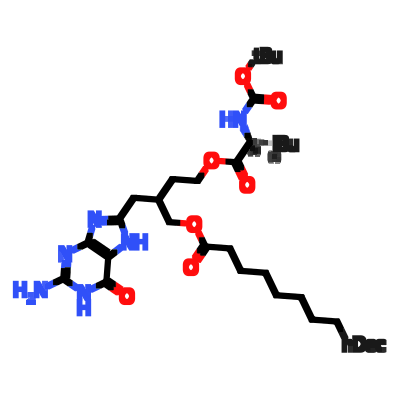 CCCCCCCCCCCCCCCCCC(=O)OCC(CCOC(=O)[C@@H](NC(=O)OC(C)(C)C)[C@@H](C)CC)Cc1nc2nc(N)[nH]c(=O)c2[nH]1